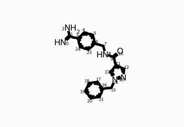 N=C(N)c1ccc(CNC(=O)c2cnn(Cc3ccccc3)c2)cc1